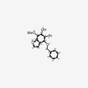 COc1c(O)c(C(C)=O)c(OCc2ccccc2)c2ccoc12